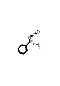 C[C@@H](N=C=O)C1=CC=CCC1